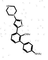 COc1c(-c2ccc(NC(C)=O)cc2)cccc1-c1cc(N2CCNCC2)no1